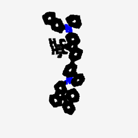 CC1(C)c2cc(-c3ccc4c(c3)c3ccccc3n4-c3ccc4c(c3)C(c3ccccc3)(c3ccccc3)c3ccccc3-4)ccc2-c2ccc(N(c3ccccc3)c3ccc4ccccc4c3)cc21